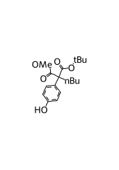 CCCCC(C(=O)OC)(C(=O)OC(C)(C)C)c1ccc(O)cc1